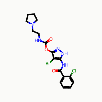 O=C(NCCN1CCCC1)Oc1n[nH]c(NC(=O)c2ccccc2Cl)c1Br